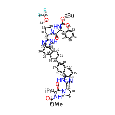 COC(=O)N[C@H](C(=O)N1CCCC1c1nc2ccc3cc(-c4ccc5c(ccc6nc([C@@H]7C[C@H](COC(F)F)CN7C(=O)[C@H](NC(=O)OC(C)(C)C)c7ccccc7)[nH]c65)c4)ccc3c2[nH]1)C(C)C